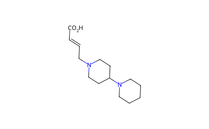 O=C(O)C=CCN1CCC(N2CCCCC2)CC1